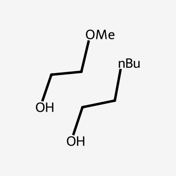 CCCCCCO.COCCO